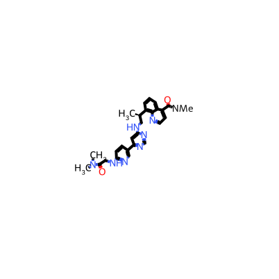 CNC(=O)c1ccnc2c([C@H](C)CNc3cc(-c4ccc(NCC(=O)N(C)C)nc4)ncn3)cccc12